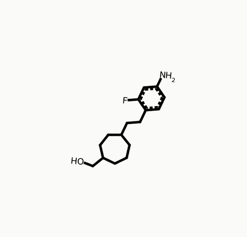 Nc1ccc(CCC2CCCC(CO)CC2)c(F)c1